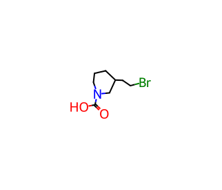 O=C(O)N1CCCC(CCBr)C1